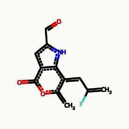 C=C(F)/C=c1\c(=C)oc(=O)c2cc(C=O)[nH]c12